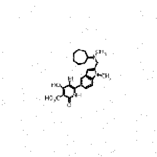 CCc1c(-c2ccc3c(c2)cc(CN(C)C2CCCCCC2)n3C)[nH]c(=O)c(C(=O)O)c1O